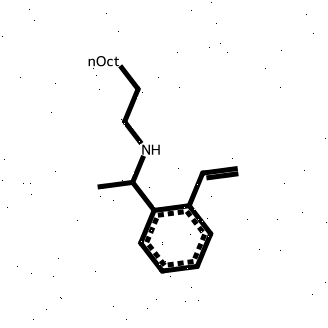 C=Cc1ccccc1C(C)NCCCCCCCCCC